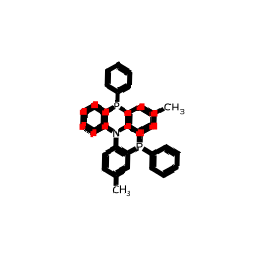 Cc1ccc(N(c2ccccc2)c2ccc(C)cc2P(c2ccccc2)c2ccccc2)c(P(c2ccccc2)c2ccccc2)c1